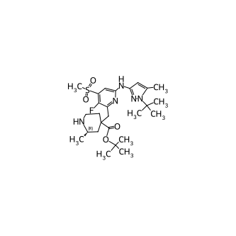 Cc1cc(Nc2cc(S(C)(=O)=O)c(F)c(CC3(C(=O)OC(C)(C)C)CCN[C@H](C)C3)n2)nn1C(C)(C)C